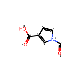 O=Cn1ccc(C(=O)O)c1